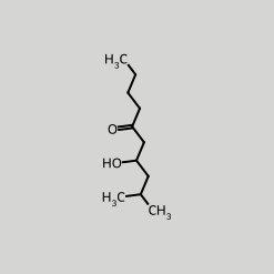 CCCCC(=O)CC(O)CC(C)C